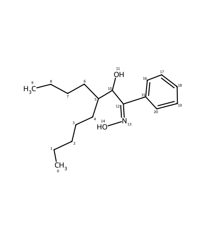 CCCCCC(CCCC)C(O)C(=NO)c1ccccc1